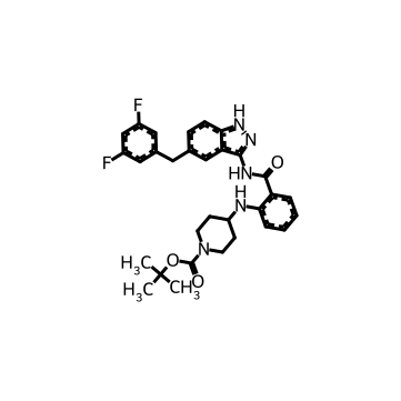 CC(C)(C)OC(=O)N1CCC(Nc2ccccc2C(=O)Nc2n[nH]c3ccc(Cc4cc(F)cc(F)c4)cc23)CC1